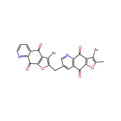 CC(=O)c1c(C)oc2c1C(=O)c1ncc(Cc3oc4c(c3C(C)=O)C(=O)c3cccnc3C4=O)cc1C2=O